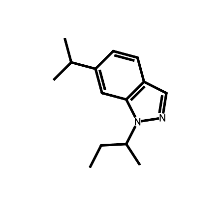 CCC(C)n1ncc2ccc(C(C)C)cc21